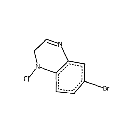 ClN1CC=Nc2cc(Br)ccc21